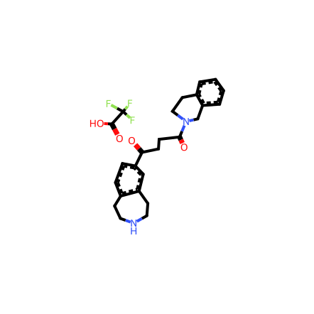 O=C(CCC(=O)N1CCc2ccccc2C1)c1ccc2c(c1)CCNCC2.O=C(O)C(F)(F)F